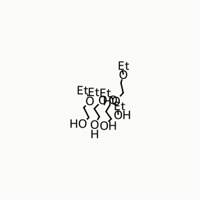 CCO.CCOCCO.CCOCCO.CCOCCO.CCOCCO